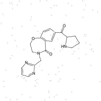 O=C(c1ccc2c(c1)C(=O)N(Cc1ncccn1)CCO2)C1CCCN1